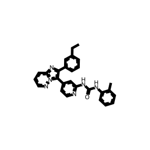 CCc1cccc(-c2nc3cccnn3c2-c2ccnc(NC(=O)Nc3ccccc3C)c2)c1